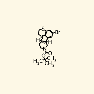 CC(C)(C)OC(=O)N1CC[C@H]2[C@@H](C1)c1cc(Br)cc3c1N2CCS3